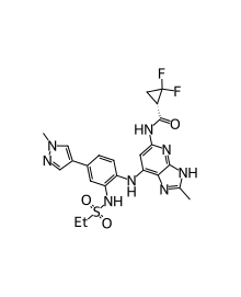 CCS(=O)(=O)Nc1cc(-c2cnn(C)c2)ccc1Nc1cc(NC(=O)[C@@H]2CC2(F)F)nc2[nH]c(C)nc12